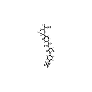 O=C(Nc1ccc(C2CN(C(=O)O)CCO2)cc1)c1cnn(-c2ccc(OC(F)(F)F)cc2)c1